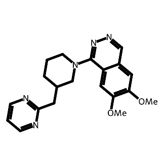 COc1cc2cnnc(N3CCCC(Cc4ncccn4)C3)c2cc1OC